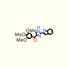 COc1cc(C(=O)C2CNC(C3=CC4=CC=CCC4=N3)=N2)cc(OC)c1OC